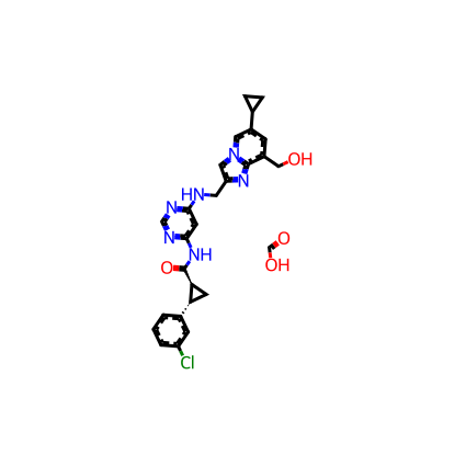 O=C(Nc1cc(NCc2cn3cc(C4CC4)cc(CO)c3n2)ncn1)[C@H]1C[C@@H]1c1cccc(Cl)c1.O=CO